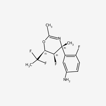 CC1=N[C@](C)(c2cc(N)ccc2F)[C@@H](F)[C@@H](C(C)(F)F)O1